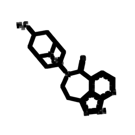 CC1CC2CC(N3CCc4n[nH]c5nccc(c45)C3=O)CC(C1)N2C